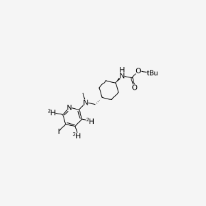 [2H]c1nc(N(C)C[C@H]2CC[C@H](NC(=O)OC(C)(C)C)CC2)c([2H])c([2H])c1I